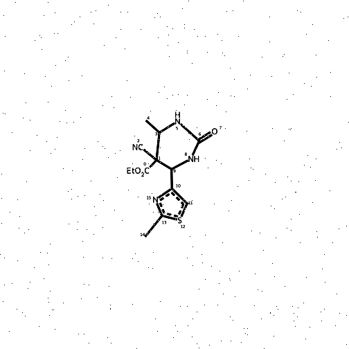 CCOC(=O)C1(C#N)C(C)NC(=O)NC1c1csc(C)n1